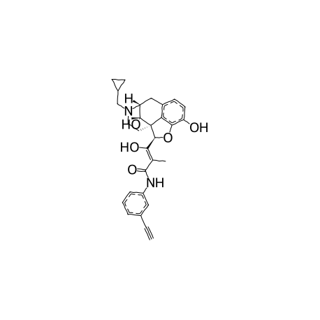 C#Cc1cccc(NC(=O)/C(C)=C(\O)[C@@H]2Oc3c(O)ccc4c3[C@@]23CCN(CC2CC2)[C@H](C4)[C@@]3(C)O)c1